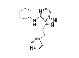 c1cc(CCc2n[nH]c3ccnc(NC4CCCCC4)c23)ccn1